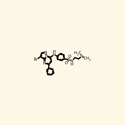 CN(C)CCNS(=O)(=O)c1ccc(Nc2cc(-c3ccccc3)nc3c(Br)cnn23)cc1